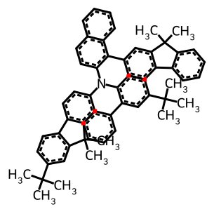 CC(C)(C)c1ccc(N(c2ccc3c(c2)C(C)(C)c2cc(C(C)(C)C)ccc2-3)c2ccc3ccccc3c2-c2ccc3c(c2)C(C)(C)c2ccccc2-3)c(-c2ccccc2)c1